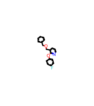 Fc1ccc(Oc2ncccc2COCc2ccccc2)cc1